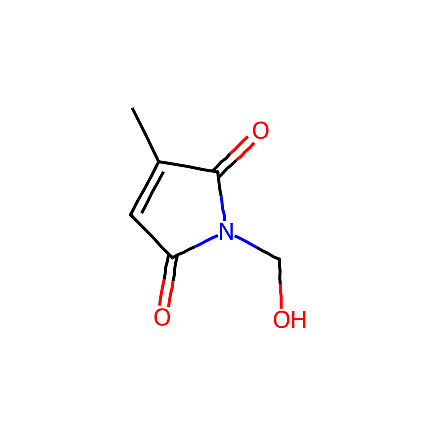 CC1=CC(=O)N(CO)C1=O